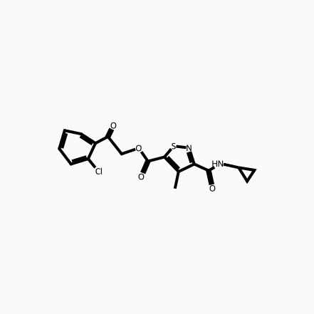 Cc1c(C(=O)NC2CC2)nsc1C(=O)OCC(=O)c1ccccc1Cl